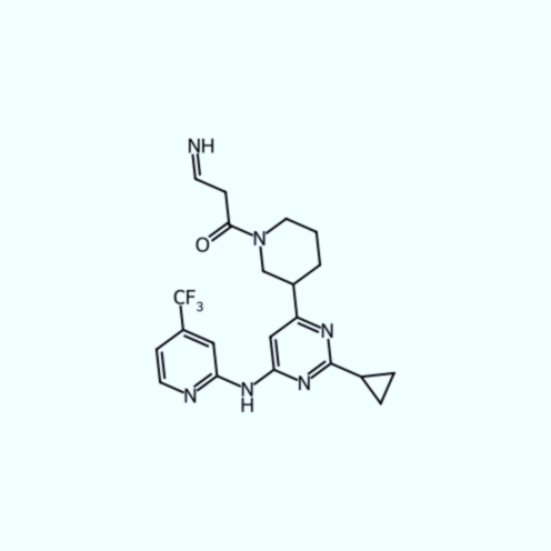 N=CCC(=O)N1CCCC(c2cc(Nc3cc(C(F)(F)F)ccn3)nc(C3CC3)n2)C1